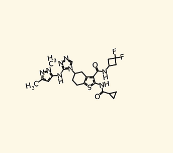 Cc1cc(Nc2nncn2C2CCc3sc(NC(=O)C4CC4)c(C(=O)NC4CC(F)(F)C4)c3C2)n(C)n1